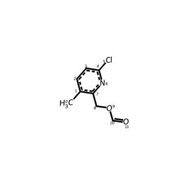 Cc1ccc(Cl)nc1COC=O